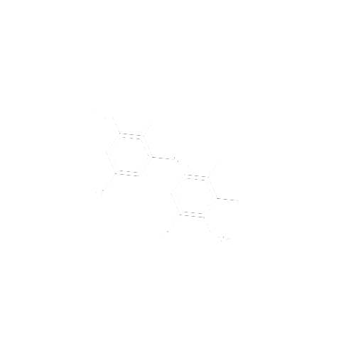 COc1c(Cl)ccc(Cl)c1C(=O)O.Nc1cc(Cl)cc(C(=O)O)c1Cl